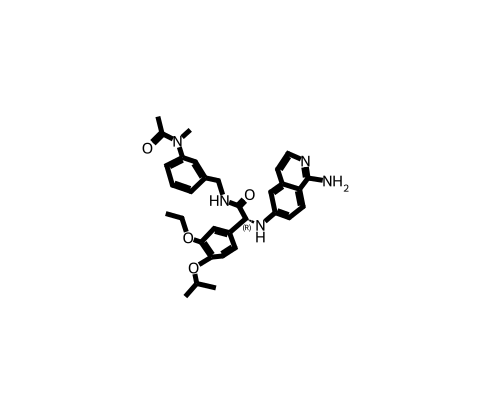 CCOc1cc([C@@H](Nc2ccc3c(N)nccc3c2)C(=O)NCc2cccc(N(C)C(C)=O)c2)ccc1OC(C)C